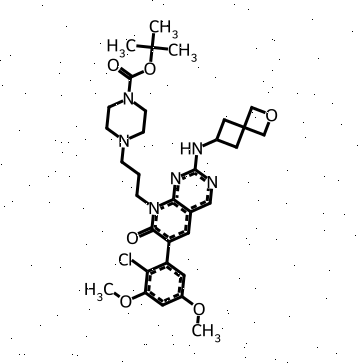 COc1cc(OC)c(Cl)c(-c2cc3cnc(NC4CC5(COC5)C4)nc3n(CCCN3CCN(C(=O)OC(C)(C)C)CC3)c2=O)c1